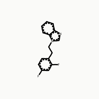 Fc1ccc(CCn2cnc3ccccc32)c(F)c1